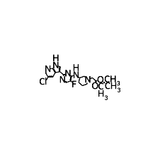 CC(C)(C)OC(=O)CN1CCCC(Nc2nc(-c3c[nH]c4ncc(Cl)cc34)ncc2F)C1